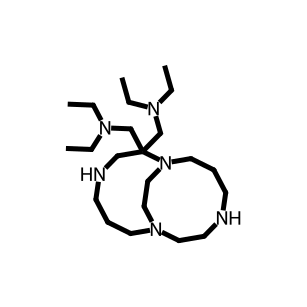 CCN(CC)CC1(CN(CC)CC)CNCCCN2CCNCCCN1CC2